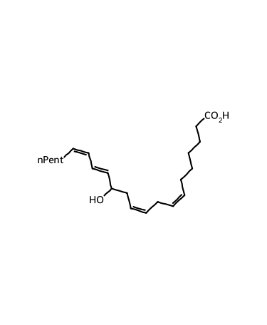 CCCCC/C=C\C=C\C(O)C/C=C\C/C=C\CCCCCC(=O)O